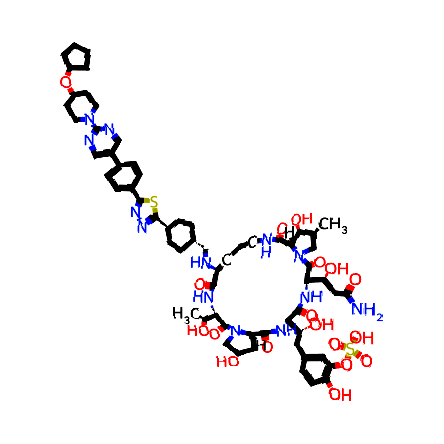 C[C@@H](O)[C@@H]1NC(=O)[C@@H](NC[C@H]2CC[C@H](c3nnc(-c4ccc(-c5cnc(N6CCC(OC7CCCC7)CC6)nc5)cc4)s3)CC2)CCCNC(=O)[C@@H]2[C@@H](O)[C@@H](C)CN2C(=O)[C@H]([C@H](O)CC(N)=O)NC(=O)[C@H]([C@H](O)Cc2ccc(O)c(OS(=O)(=O)O)c2)NC(=O)[C@@H]2C[C@@H](O)CN2C1=O